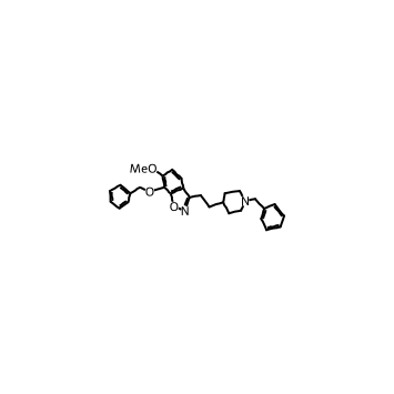 COc1ccc2c(CCC3CCN(Cc4ccccc4)CC3)noc2c1OCc1ccccc1